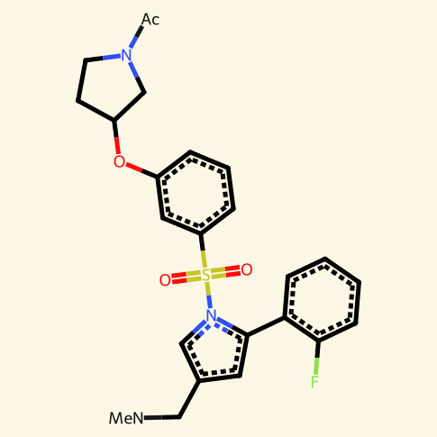 CNCc1cc(-c2ccccc2F)n(S(=O)(=O)c2cccc(OC3CCN(C(C)=O)C3)c2)c1